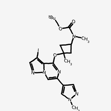 CN(C(=O)OC(C)(C)C)C1CC(C)(Oc2nc(-c3cnn(C)c3)cn3ncc(I)c23)C1